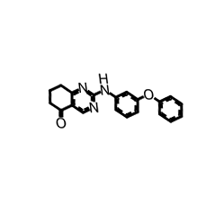 O=C1CCCc2nc(Nc3cccc(Oc4ccccc4)c3)ncc21